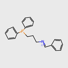 C(=N\CCCP(c1ccccc1)c1ccccc1)/c1ccccc1